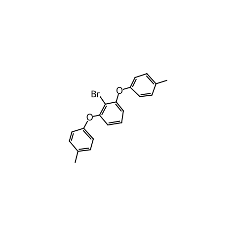 Cc1ccc(Oc2cccc(Oc3ccc(C)cc3)c2Br)cc1